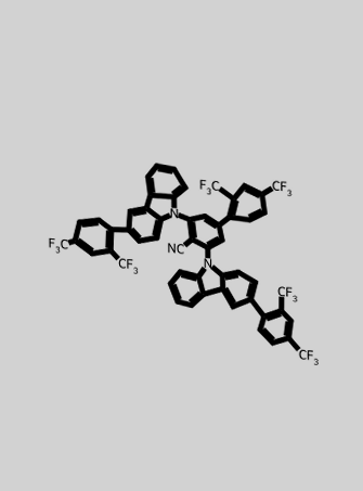 N#Cc1c(-n2c3ccccc3c3cc(-c4ccc(C(F)(F)F)cc4C(F)(F)F)ccc32)cc(-c2ccc(C(F)(F)F)cc2C(F)(F)F)cc1-n1c2ccccc2c2cc(-c3ccc(C(F)(F)F)cc3C(F)(F)F)ccc21